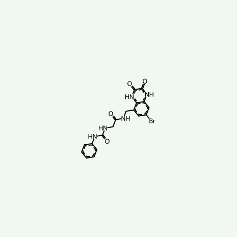 O=C(CNC(=O)Nc1ccccc1)NCc1cc(Br)cc2[nH]c(=O)c(=O)[nH]c12